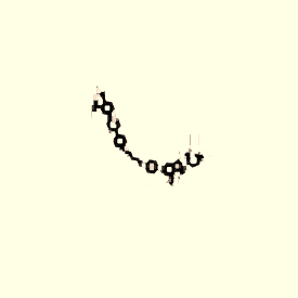 COc1cc(N2CCN(CCCCOc3ccc(C4CCN(c5ccc(C#N)c(C(F)(F)F)c5)CC4)c(F)c3)CC2)cc2c1C(=O)N(C1CCC(=O)NC1=O)C2